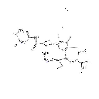 C=C(/C=C(/OC)N(C)N)NC(=O)C1CN(c2nc3c(c(C)c2F)CC(=O)C(C(=O)O)=CN3C(CC)S/C=C\N)C1